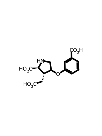 O=C(O)C[C@H]1C(Oc2cccc(C(=O)O)c2)CN[C@@H]1C(=O)O